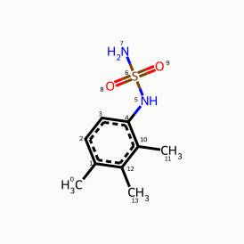 Cc1ccc(NS(N)(=O)=O)c(C)c1C